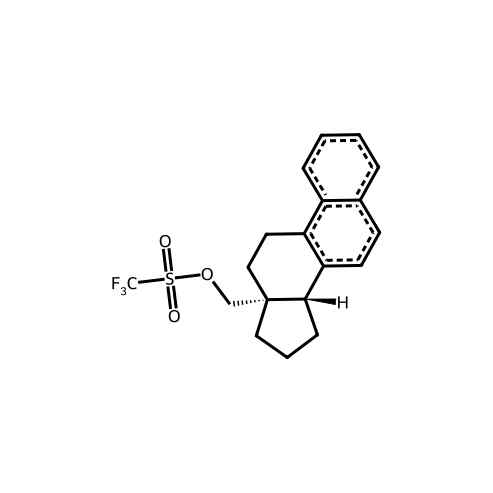 O=S(=O)(OC[C@@]12CCC[C@H]1c1ccc3ccccc3c1CC2)C(F)(F)F